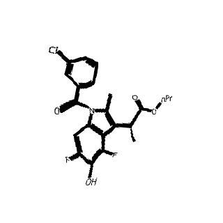 CCCOC(=O)[C@@H](C)c1c(C)n(C(=O)c2cccc(Cl)c2)c2cc(F)c(O)c(F)c12